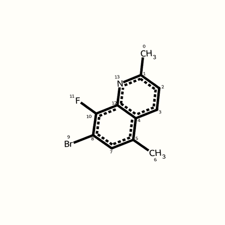 Cc1ccc2c(C)cc(Br)c(F)c2n1